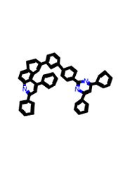 c1ccc(-c2cc(-c3ccccc3)nc(-c3ccc(-c4cccc(-c5ccc6ccc7nc(-c8ccccc8)cc(-c8ccccc8)c7c6c5)c4)cc3)n2)cc1